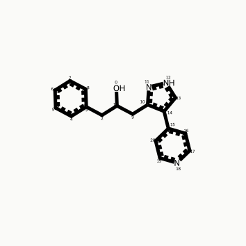 OC(Cc1ccccc1)Cc1n[nH]cc1-c1ccncc1